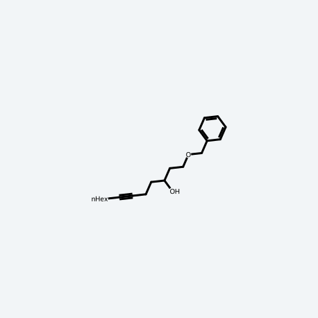 CCCCCCC#CCCC(O)CCOCc1ccccc1